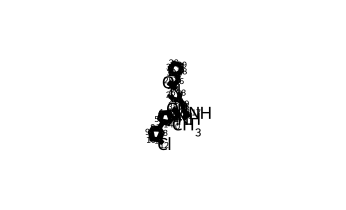 C[C@@]1(c2cccc(-c3cccc(Cl)c3)c2)NC(=N)N(CC2CCN(C(=O)CC3CCCCC3)C2)C1=O